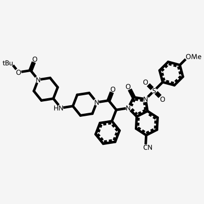 COc1ccc(S(=O)(=O)n2c(=O)n(C(C(=O)N3CCC(NC4CCN(C(=O)OC(C)(C)C)CC4)CC3)c3ccccc3)c3cc(C#N)ccc32)cc1